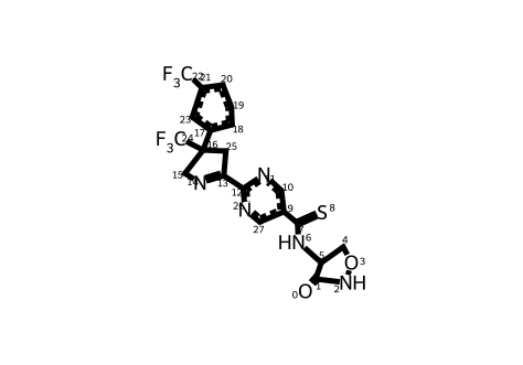 O=C1NOCC1NC(=S)c1cnc(C2=NCC(c3cccc(C(F)(F)F)c3)(C(F)(F)F)C2)nc1